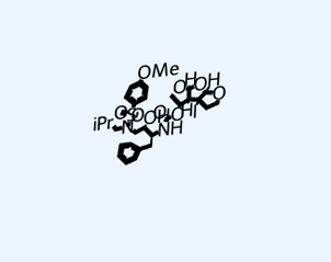 COc1ccc(S(=O)(=O)N(CC(C)C)C[C@@H](O)[C@H](Cc2ccccc2)NC(=O)O[C@H]2CO[C@H]3O[C@@H]4OCC[C@]4(I)[C@H]32)cc1